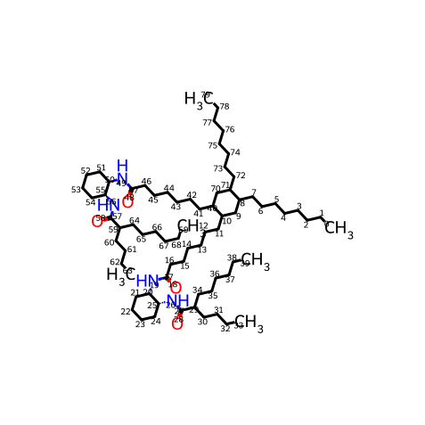 CCCCCCCCC1CC(CCCCCCC(=O)N[C@H]2CCCC[C@H]2NC(=O)C(CCCC)CCCCCC)C(CCCCCCC(=O)N[C@@H]2CCCC[C@@H]2NC(=O)C(CCCC)CCCCCC)CC1CCCCCCCC